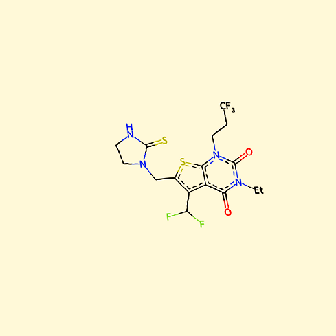 CCn1c(=O)c2c(C(F)F)c(CN3CCNC3=S)sc2n(CCC(F)(F)F)c1=O